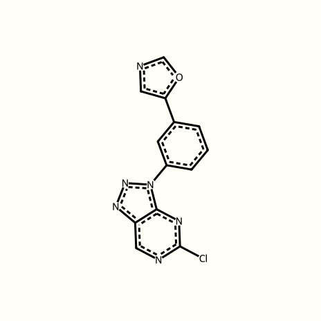 Clc1ncc2nnn(-c3cccc(-c4cnco4)c3)c2n1